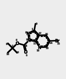 Cc1nn(C(=O)OC(C)(C)C)c2ncc(Br)cc12